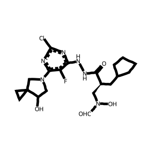 O=CN(O)C[C@H](CC1CCCC1)C(=O)NNc1nc(Cl)nc(N2CC(O)C3(CC3)C2)c1F